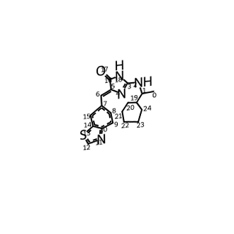 CC(NC1=N/C(=C\c2ccc3ncsc3c2)C(=O)N1)C1CCCCC1